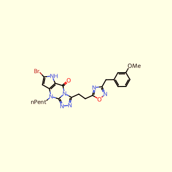 CCCCCn1c2cc(Br)[nH]c2c(=O)n2c(CCc3nc(Cc4cccc(OC)c4)no3)nnc12